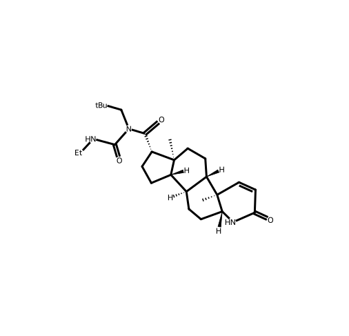 CCNC(=O)N(CC(C)(C)C)C(=O)[C@H]1CC[C@H]2[C@@H]3CC[C@H]4NC(=O)C=C[C@]4(C)[C@H]3CC[C@]12C